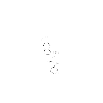 COc1ccc2c3c(ccc2c1)C(C(=O)Nc1cccnc1)CN3